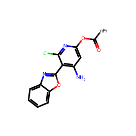 CCCC(=O)Oc1cc(N)c(-c2nc3ccccc3o2)c(Cl)n1